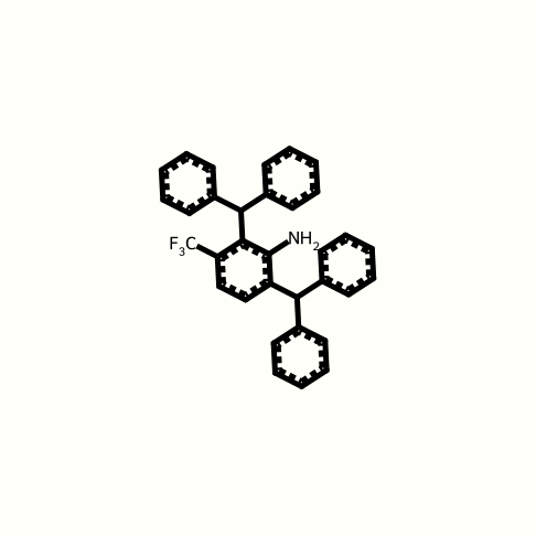 Nc1c(C(c2ccccc2)c2ccccc2)ccc(C(F)(F)F)c1C(c1ccccc1)c1ccccc1